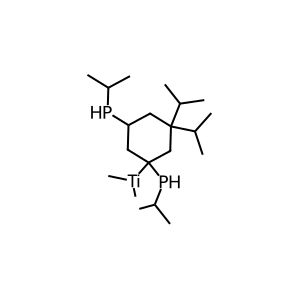 CC(C)PC1CC(C(C)C)(C(C)C)C[C](PC(C)C)([Ti]([CH3])[CH3])C1